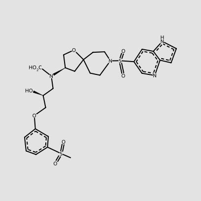 CS(=O)(=O)c1cccc(OC[C@@H](O)CN(C(=O)O)[C@H]2COC3(CCN(S(=O)(=O)c4cnc5cc[nH]c5c4)CC3)C2)c1